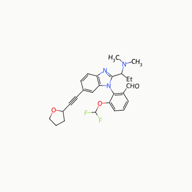 CCC(c1nc2ccc(C#CC3CCCO3)cc2n1-c1c(C=O)cccc1OC(F)F)N(C)C